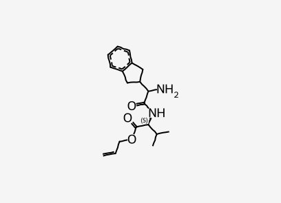 C=CCOC(=O)[C@@H](NC(=O)C(N)C1Cc2ccccc2C1)C(C)C